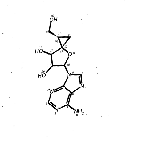 Nc1ncnc2c1ncn2C1O[C@]2(C[C@@H]2CO)C(O)C1O